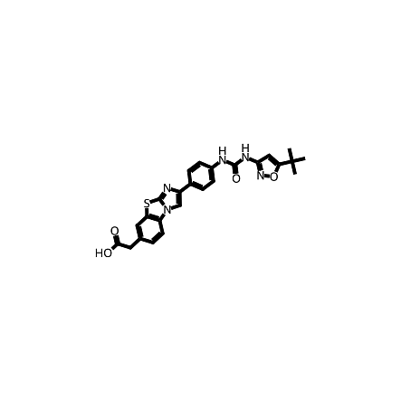 CC(C)(C)c1cc(NC(=O)Nc2ccc(-c3cn4c(n3)sc3cc(CC(=O)O)ccc34)cc2)no1